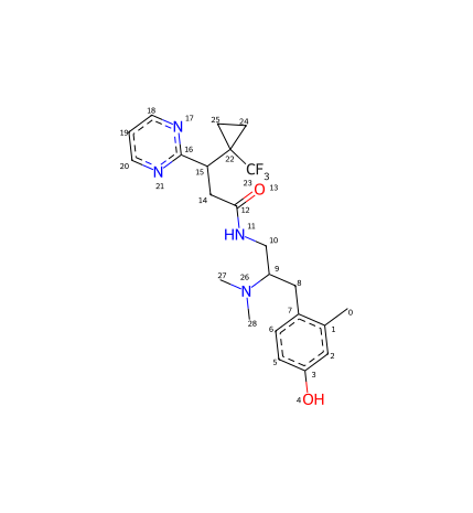 Cc1cc(O)ccc1CC(CNC(=O)CC(c1ncccn1)C1(C(F)(F)F)CC1)N(C)C